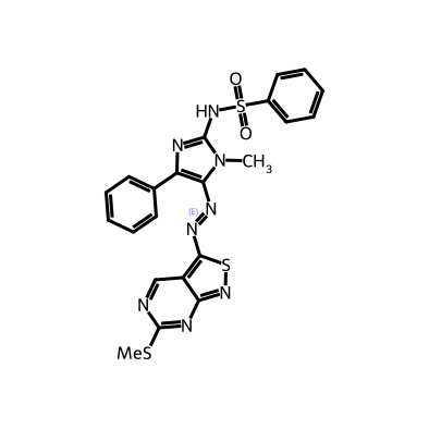 CSc1ncc2c(/N=N/c3c(-c4ccccc4)nc(NS(=O)(=O)c4ccccc4)n3C)snc2n1